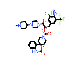 CNc1c(Cl)cc(C[C@@H](OC(=O)N2CCC3(CC2)OC(=O)Nc2ccccc23)C(=O)N2CCN(C3CCN(C)CC3)CC2)cc1C(F)(F)F